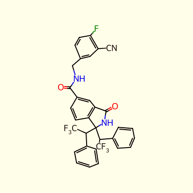 N#Cc1cc(CNC(=O)c2ccc3c(c2)C(=O)NC3(C(c2ccccc2)C(F)(F)F)C(c2ccccc2)C(F)(F)F)ccc1F